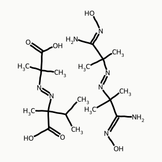 CC(C)(N=NC(C)(C)C(N)=NO)C(N)=NO.CC(C)C(C)(N=NC(C)(C)C(=O)O)C(=O)O